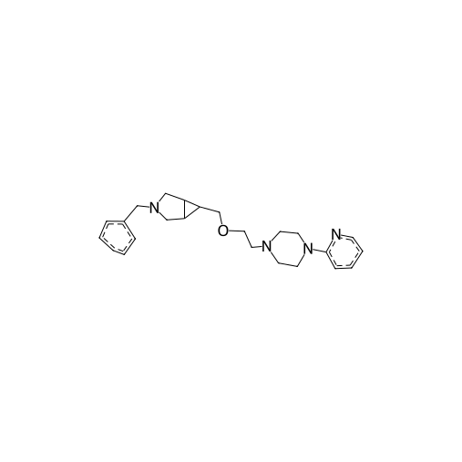 c1ccc(CN2CC3C(COCCN4CCN(c5ccccn5)CC4)C3C2)cc1